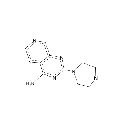 Nc1nc(N2CCNCC2)nc2cncnc12